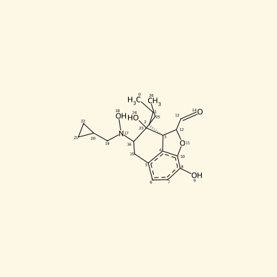 CCC[C@@]12c3c(ccc(O)c3OC1C=O)CC(N(O)CC1CC1)C2(O)CC